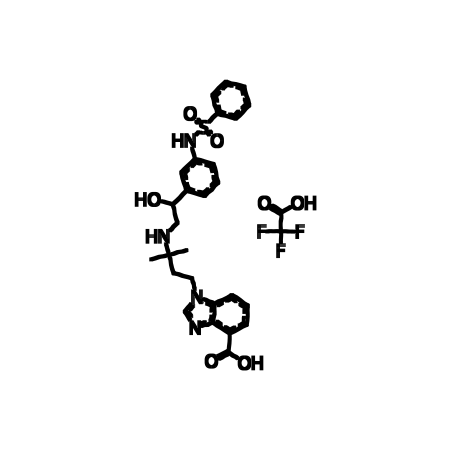 CC(C)(CCn1cnc2c(C(=O)O)cccc21)NCC(O)c1cccc(NS(=O)(=O)c2ccccc2)c1.O=C(O)C(F)(F)F